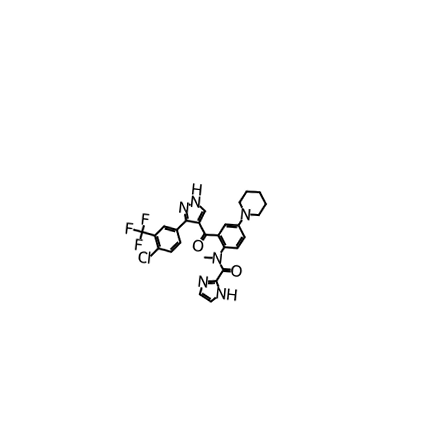 CN(C(=O)c1ncc[nH]1)c1ccc(N2CCCCC2)cc1C(=O)c1c[nH]nc1-c1ccc(Cl)c(C(F)(F)F)c1